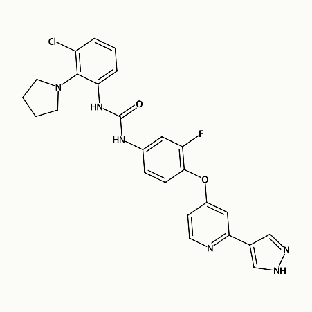 O=C(Nc1ccc(Oc2ccnc(-c3cn[nH]c3)c2)c(F)c1)Nc1cccc(Cl)c1N1CCCC1